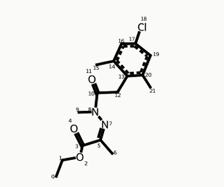 CCOC(=O)C(C)=NN(C)C(=O)Cc1c(C)cc(Cl)cc1C